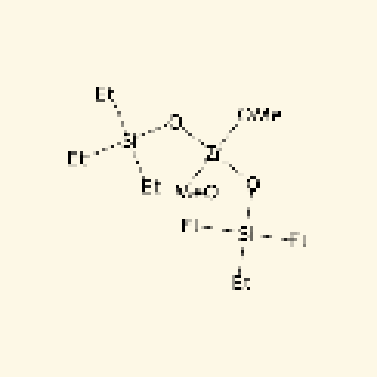 CC[Si](CC)(CC)[O][Zr]([O]C)([O]C)[O][Si](CC)(CC)CC